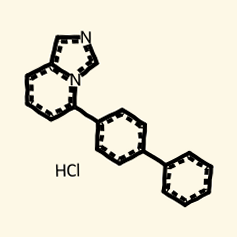 Cl.c1ccc(-c2ccc(-c3cccc4cncn34)cc2)cc1